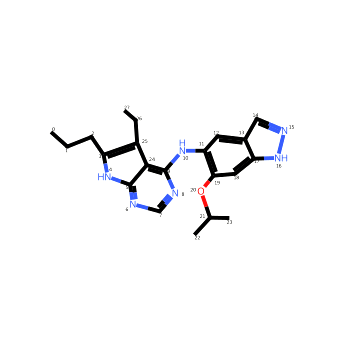 CCCc1[nH]c2ncnc(Nc3cc4cn[nH]c4cc3OC(C)C)c2c1CC